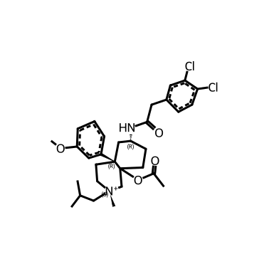 COc1cccc([C@]23CC[N@@+](C)(CC(C)C)CC2(OC(C)=O)CC[C@@H](NC(=O)Cc2ccc(Cl)c(Cl)c2)C3)c1